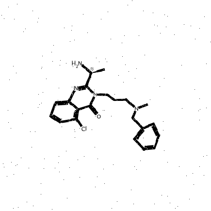 C[C@H](N)c1nc2cccc(Cl)c2c(=O)n1CCCN(C)Cc1ccccc1